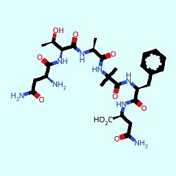 C[C@H](NC(=O)[C@@H](NC(=O)[C@@H](N)CC(N)=O)[C@@H](C)O)C(=O)NC(C)(C)C(=O)N[C@@H](Cc1ccccc1)C(=O)N[C@@H](CC(N)=O)C(=O)O